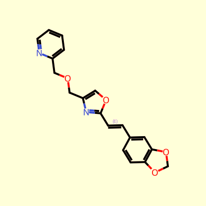 C(=C\c1nc(COCc2ccccn2)co1)/c1ccc2c(c1)OCO2